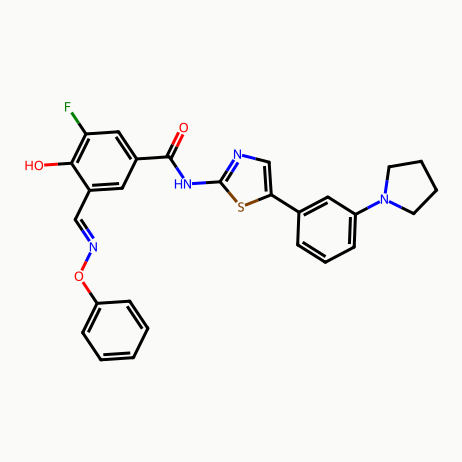 O=C(Nc1ncc(-c2cccc(N3CCCC3)c2)s1)c1cc(F)c(O)c(C=NOc2ccccc2)c1